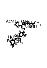 COc1c(Nc2cc(C)[nH]n2)nc(Sc2ccc(S(=O)(=O)C(C)(C)c3c(F)c(F)cc(F)c3F)cc2F)nc1N1CCC(NC(C)=O)C1